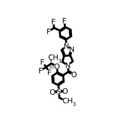 CCS(=O)(=O)c1ccc(O[C@@H](C)C(F)(F)F)c(C(=O)N2Cc3cn(-c4ccc(F)c(C(F)F)c4)nc3C2)c1